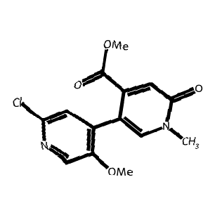 COC(=O)c1cc(=O)n(C)cc1-c1cc(Cl)ncc1OC